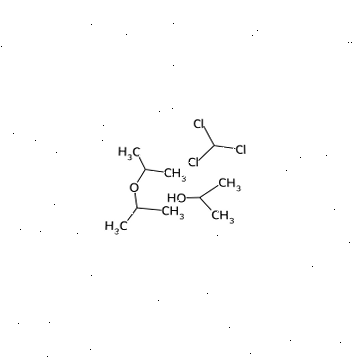 CC(C)O.CC(C)OC(C)C.ClC(Cl)Cl